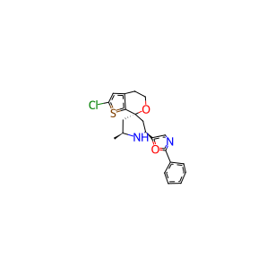 C[C@H]1C[C@@]2(C[C@@H](c3cnc(-c4ccccc4)o3)N1)OCCc1cc(Cl)sc12